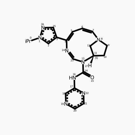 CC(C)n1cc(C2=CC=CN3CC[C@@H](C3)N(C(=O)Nc3cnccn3)C=N2)cn1